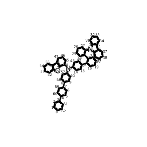 c1ccc(-c2ccc(-c3ccc(N(c4ccc(-c5ccccc5-c5ccccc5-n5c6ccccc6c6ccccc65)cc4)c4cccc5c4oc4ccccc45)cc3)cc2)cc1